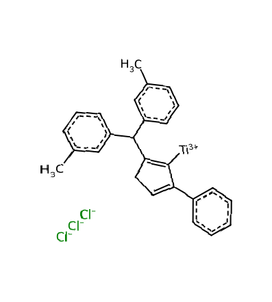 Cc1cccc(C(C2=[C]([Ti+3])C(c3ccccc3)=CC2)c2cccc(C)c2)c1.[Cl-].[Cl-].[Cl-]